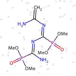 C=C(N)/N=C(\N=C(/N)P(=O)(OC)OC)P(=O)(OC)OC